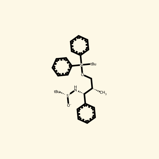 C[C@@H](CO[Si](c1ccccc1)(c1ccccc1)C(C)(C)C)[C@@H](N[S@+]([O-])C(C)(C)C)c1ccccc1